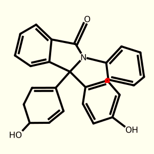 O=C1c2ccccc2C(C2=CCC(O)C=C2)(c2ccc(O)cc2)N1c1ccccc1